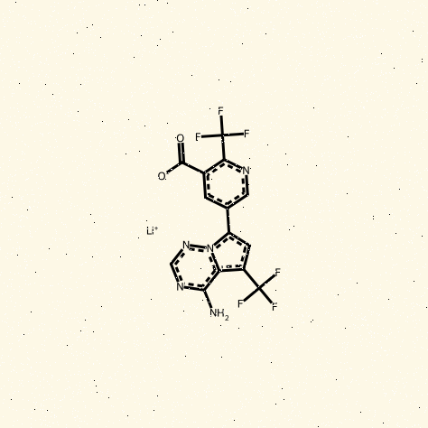 Nc1ncnn2c(-c3cnc(C(F)(F)F)c(C(=O)[O-])c3)cc(C(F)(F)F)c12.[Li+]